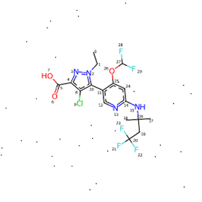 CCn1nc(C(=O)O)c(Cl)c1-c1cnc(NC(C)(C)CC(F)(F)F)cc1OC(F)F